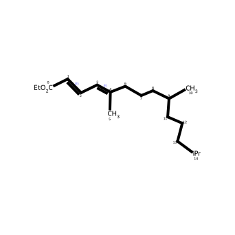 CCOC(=O)/C=C/C=C(\C)CCCC(C)CCCC(C)C